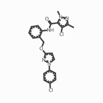 Cc1nn(C)c(C(=O)Nc2ccccc2COc2ccn(-c3ccc(Cl)cc3)n2)c1Cl